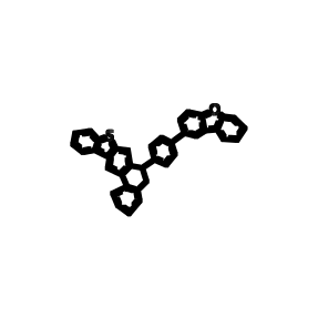 c1ccc2c(c1)CC(c1ccc(-c3ccc4oc5ccccc5c4c3)cc1)c1cc3sc4ccccc4c3cc1-2